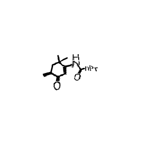 C=C1CC(C)(C)C(NC(=O)CCC)=CC1=O